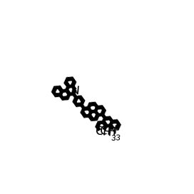 C/C=C\c1c(C2=CC=C3C=CC4=C(c5ccc(-c6nc7ccccc7c7c6ccc6ccccc67)cc5)C=CC5=CC=C2C3C54)cc2cccnc2c1C